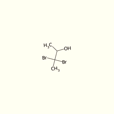 CC(O)C(C)(Br)Br